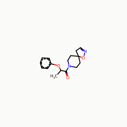 CC(Oc1ccccc1)C(=O)N1CCC2(CC=NO2)CC1